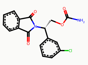 NC(=O)OC[C@H](c1cccc(Cl)c1)N1C(=O)c2ccccc2C1=O